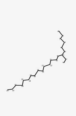 [CH2]CCCCCC(CC)CCCCCCCCCCCCCCC